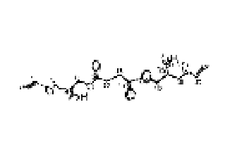 C=COCC(O)COC(=O)CCC(=O)OCC(O)COC=C